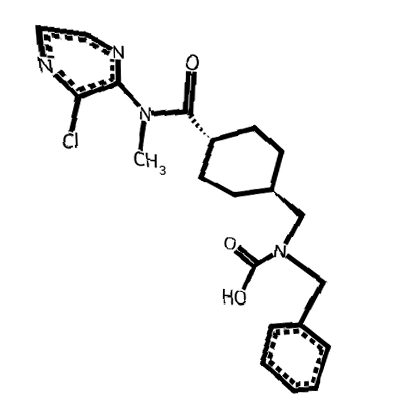 CN(c1nccnc1Cl)C(=O)[C@H]1CC[C@H](CN(Cc2ccccc2)C(=O)O)CC1